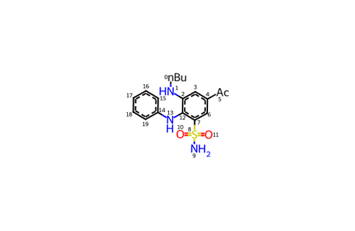 CCCCNc1cc(C(C)=O)cc(S(N)(=O)=O)c1Nc1ccccc1